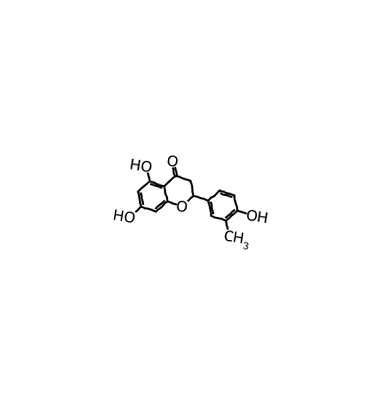 Cc1cc(C2CC(=O)c3c(O)cc(O)cc3O2)ccc1O